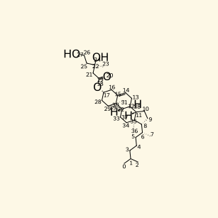 CC(C)CCC[C@@H](C)[C@H]1CC[C@H]2[C@@H]3CC=C4C[C@@H](OC(=O)C[C@](C)(O)CCO)CC[C@]4(C)[C@H]3CC[C@]12C